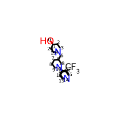 OC1CCN(CC2CCCN(c3ccncc3C(F)(F)F)C2)CC1